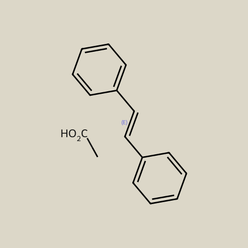 C(=C\c1ccccc1)/c1ccccc1.CC(=O)O